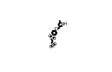 CC1CC(COc2ccc(S(=O)(=O)CCCS(C)(=O)=O)cc2)CN1